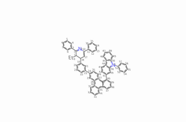 CCC1C(c2ccccc2)=NC(c2ccccc2)=CC1c1cccc(-c2ccc3c(c2)c2ccccc2c2cccc(-c4ccc5c6ccccc6n(-c6ccccc6)c5c4)c23)c1